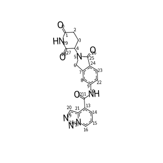 O=C1CCC(N2Cc3cc(NC(=O)c4cccn5nncc45)ccc3C2=O)C(=O)N1